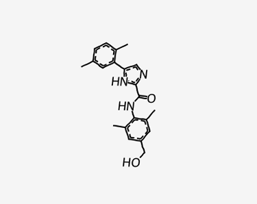 Cc1ccc(C)c(-c2cnc(C(=O)Nc3c(C)cc(CO)cc3C)[nH]2)c1